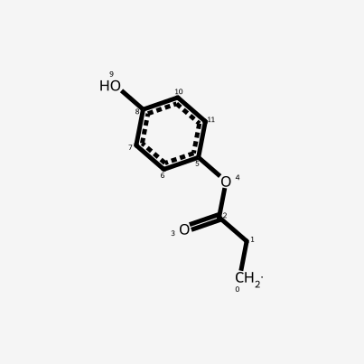 [CH2]CC(=O)Oc1ccc(O)cc1